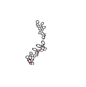 CC1(C)c2ccccc2-c2cccc(N(c3ccccc3-c3cccc4sc5ccccc5c34)c3cccc4cc(-c5ccc6c(c5)sc5ccc(-c7ccc(N(c8ccccc8-c8cccc9sc%10ccccc%10c89)c8cccc9cc(-c%10ccc%11c(c%10)sc%10cccc(-c%12ccccc%12N(c%12cccc%13ccccc%12%13)c%12cccc%13sc%14ccccc%14c%12%13)c%10%11)ccc89)cc7)cc56)ccc34)c21